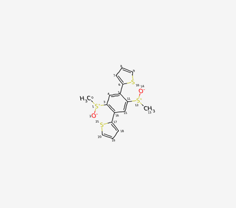 C[S+]([O-])c1cc(-c2cccs2)c([S+](C)[O-])cc1-c1cccs1